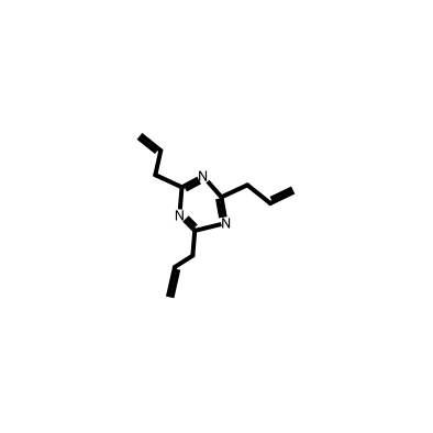 C=CCc1nc(CC=C)nc(CC=C)n1